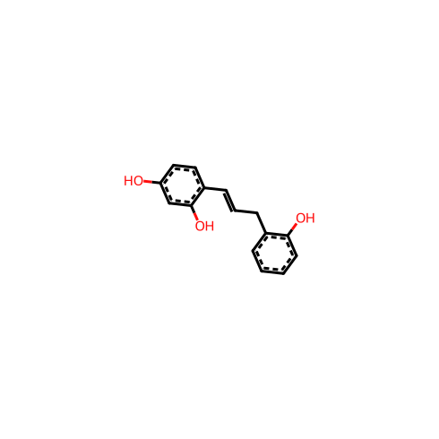 Oc1ccc(C=CCc2ccccc2O)c(O)c1